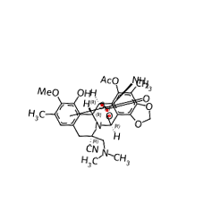 COc1c(C)cc2c(c1O)[C@@H]1[C@@H]3SC[C@H](N)C(=O)OC[C@@H](c4c5c(c(C)c(OC(C)=O)c43)OCO5)N1[C@@](C#N)(CN(C)C)C2